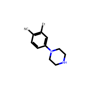 CCc1cc(N2CCNCC2)ccc1C#N